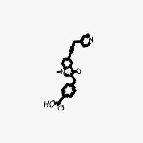 Cn1cc(Cc2ccc(C(=O)O)cc2)c(=O)c2cc(C#CCc3ccncc3)ccc21